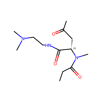 CCC(=O)N(C)[C@@H](CC(C)=O)C(=O)NCCN(C)C